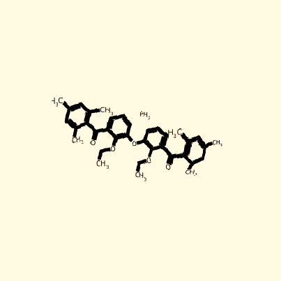 CCOc1c(Oc2cccc(C(=O)c3c(C)cc(C)cc3C)c2OCC)cccc1C(=O)c1c(C)cc(C)cc1C.P